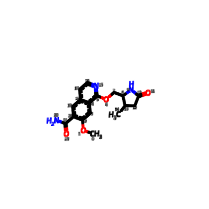 COc1cc2c(OCC3NC(=O)CC3C)nccc2cc1C(N)=O